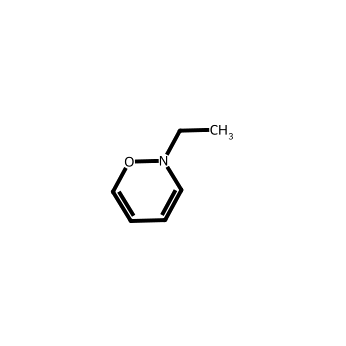 CCN1C=CC=CO1